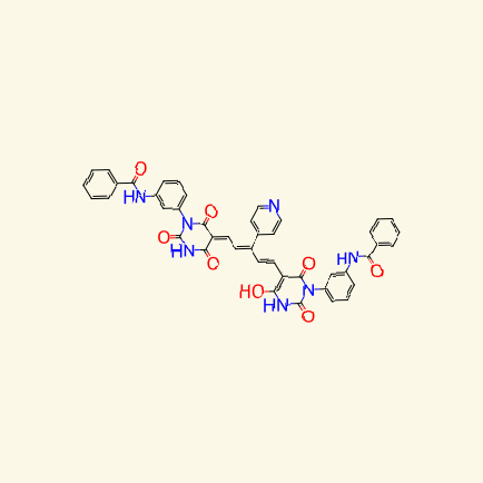 O=C1NC(=O)N(c2cccc(NC(=O)c3ccccc3)c2)C(=O)C1=CC=C(C=Cc1c(O)[nH]c(=O)n(-c2cccc(NC(=O)c3ccccc3)c2)c1=O)c1ccncc1